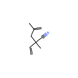 C=CC(C)(C#N)CC(=C)C